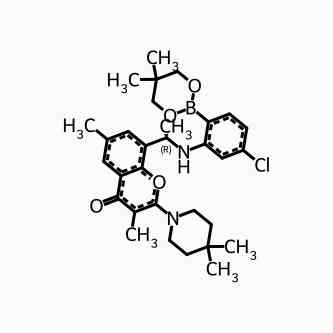 Cc1cc([C@@H](C)Nc2cc(Cl)ccc2B2OCC(C)(C)CO2)c2oc(N3CCC(C)(C)CC3)c(C)c(=O)c2c1